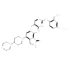 COc1ccc(Nc2ncc(Cl)c(Nc3ccc(N4CCC(N5CCNCC5)CC4)c4c3C(=O)N(C)C4)n2)c(OC)c1